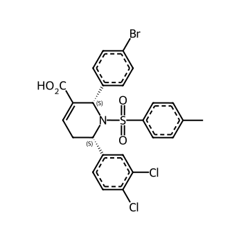 Cc1ccc(S(=O)(=O)N2[C@@H](c3ccc(Br)cc3)C(C(=O)O)=CC[C@H]2c2ccc(Cl)c(Cl)c2)cc1